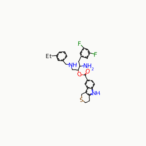 CCc1cccc(CNCC(OC(=O)c2ccc3[nH]c4c(c3c2)CSCC4)C(N)Cc2cc(F)cc(F)c2)c1